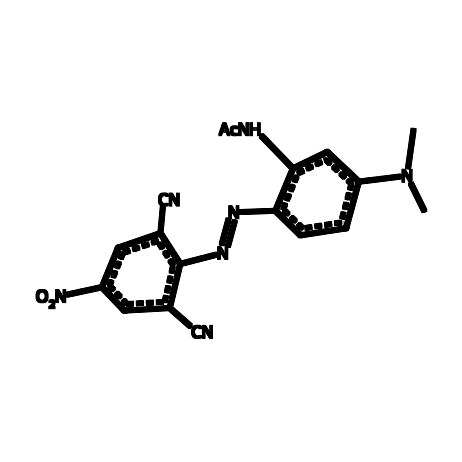 CC(=O)Nc1cc(N(C)C)ccc1/N=N/c1c(C#N)cc([N+](=O)[O-])cc1C#N